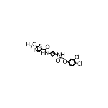 Cc1ncc(C(=O)NC23CC(NC(=O)COc4ccc(Cl)c(Cl)c4)(C2)C3)s1